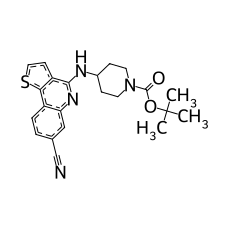 CC(C)(C)OC(=O)N1CCC(Nc2nc3cc(C#N)ccc3c3sccc23)CC1